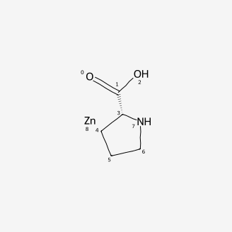 O=C(O)[C@H]1CCCN1.[Zn]